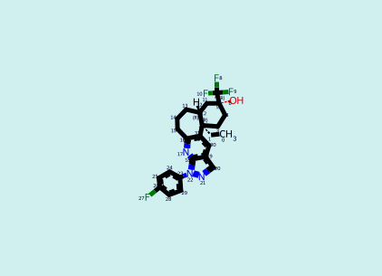 CC[C@@]12CC[C@](O)(C(F)(F)F)C[C@H]1CCCc1nc3c(cnn3-c3ccc(F)cc3)cc12